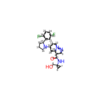 O=C(NC1(CO)C=C1)c1cnn2ccc(N3CCCC3c3cc(F)ccc3F)cc12